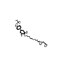 CC(C)C(=O)Oc1ccc(-c2cc(F)c(OCCCCCCCCCCCOCC3CO3)c(F)c2)cc1